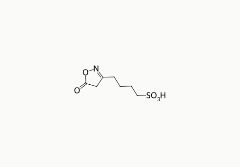 O=C1CC(CCCCS(=O)(=O)O)=NO1